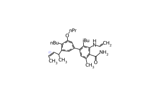 C=CNc1c(C(N)=O)c(C)cc(-c2cc(OCCC)c(CCCC)c(C(C)/C=C\C)c2)c1C(C)CC